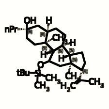 C=C(C)[C@H]1CC[C@H]2[C@@H]3CC[C@@H]4C[C@@](O)(CCC)CC[C@]4(C)[C@H]3C(O[Si](C)(C)C(C)(C)C)C[C@]12C